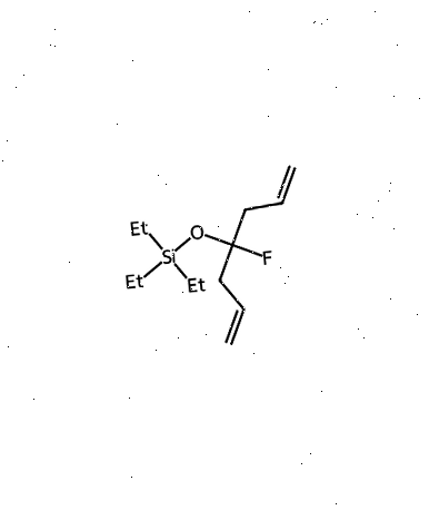 C=CCC(F)(CC=C)O[Si](CC)(CC)CC